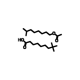 CC(=O)OCCCCCCC(C)C.CC(C)(C)CCCCCCC(=O)O